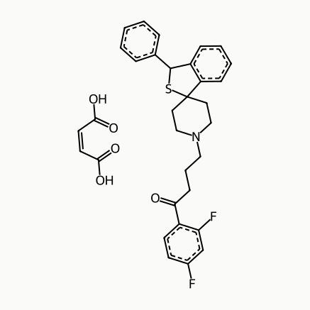 O=C(CCCN1CCC2(CC1)SC(c1ccccc1)c1ccccc12)c1ccc(F)cc1F.O=C(O)/C=C\C(=O)O